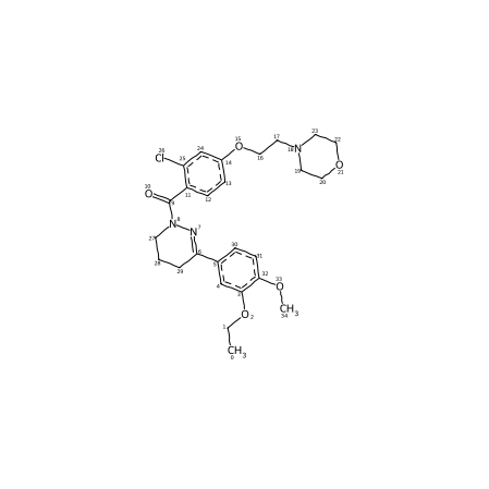 CCOc1cc(C2=NN(C(=O)c3ccc(OCCN4CCOCC4)cc3Cl)CCC2)ccc1OC